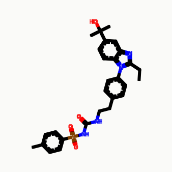 CCc1nc2cc(C(C)(C)O)ccc2n1-c1ccc(CCNC(=O)NS(=O)(=O)c2ccc(C)cc2)cc1